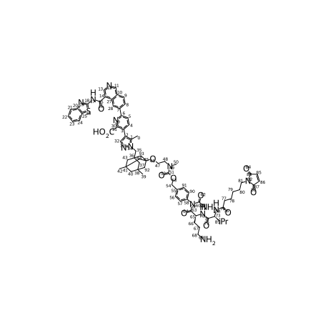 Cc1c(-c2ccc(-c3ccc4cncc(C(=O)Nc5nc6ccccc6s5)c4c3)nc2C(=O)O)cnn1CC12CC3(C)CC(C)(C1)CC(OCCN(C)C(=O)OCc1ccc(N(C(N)=O)C(=O)[C@H](CCCN)NC(=O)[C@@H](NC(=O)CCCCCN4C(=O)C=CC4=O)C(C)C)cc1)(C3)C2